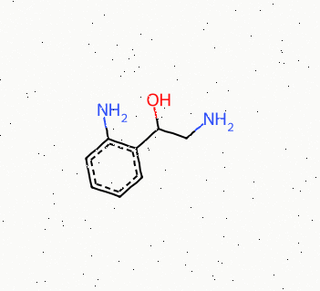 NCC(O)c1ccccc1N